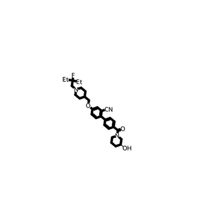 CCC(F)(CC)CN1CCC(COc2ccc(-c3ccc(C(=O)N4CCC[C@@H](O)C4)cc3)c(C#N)c2)CC1